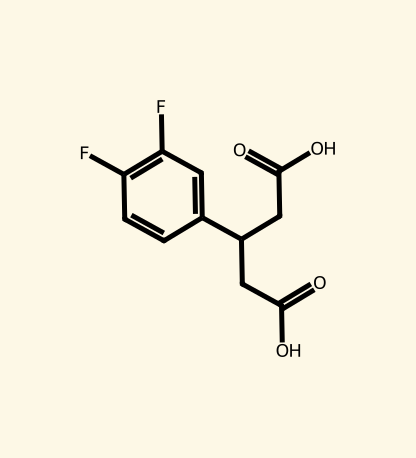 O=C(O)CC(CC(=O)O)c1ccc(F)c(F)c1